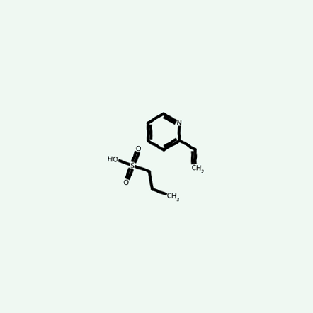 C=Cc1ccccn1.CCCS(=O)(=O)O